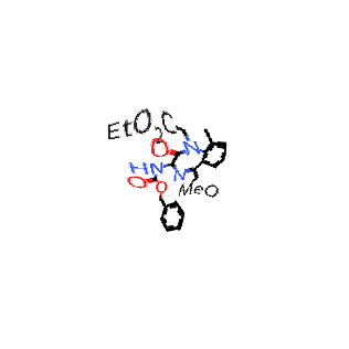 CCOC(=O)CN1C(=O)C(NC(=O)OCc2ccccc2)N=C(COC)c2cccc(C)c21